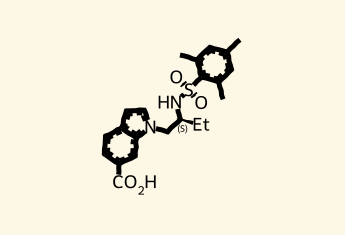 CC[C@@H](Cn1ccc2ccc(C(=O)O)cc21)NS(=O)(=O)c1c(C)cc(C)cc1C